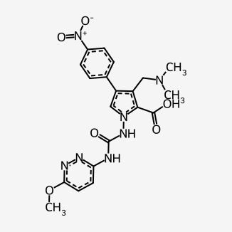 COc1ccc(NC(=O)Nn2cc(-c3ccc([N+](=O)[O-])cc3)c(CN(C)C)c2C(=O)O)nn1